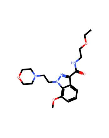 CCOCCNC(=O)c1nn(CCN2CCOCC2)c2c(OC)cccc12